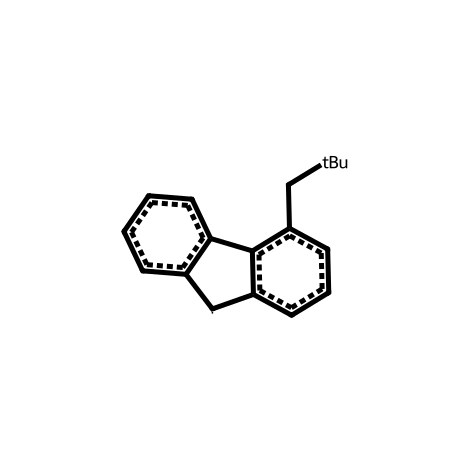 CC(C)(C)Cc1cccc2c1-c1ccccc1[CH]2